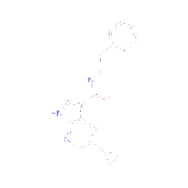 O=C(NCCc1ccccc1)c1c[nH]c2ncc(C3CC3)nc12